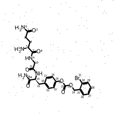 NC(=O)CC[C@H](N)C(=O)NCC(=O)N[C@@H](Cc1ccc(OC(=O)OCc2ccccc2Br)cc1)C(N)=O